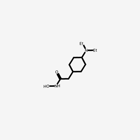 CCN(CC)C1CCC(CC(=O)NO)CC1